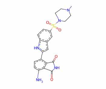 CN1CCN(S(=O)(=O)c2ccc3[nH]c(-c4ccc(N)c5c4C(=O)NC5=O)cc3c2)CC1